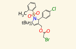 Cc1ccccc1S(=O)(=O)N1C(c2ccc(Cl)cc2)C(COC(=O)CBr)=C[C@H]1C(C)(C)C